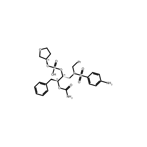 CC(C)CN(C[C@@H](OP(=O)(O)O[C@@H]1CCOC1)[C@H](Cc1ccccc1)OC(N)=O)S(=O)(=O)c1ccc(N)cc1